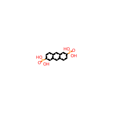 O=P(O)(O)c1ccc2cc3cc(P(=O)(O)O)ccc3cc2c1